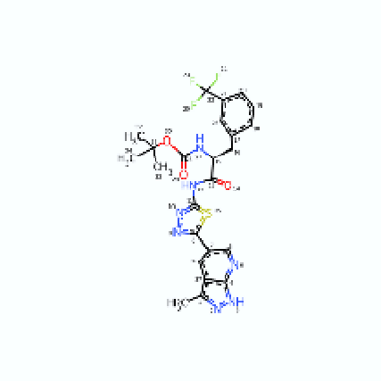 Cc1n[nH]c2ncc(-c3nnc(NC(=O)[C@H](Cc4cccc(C(F)(F)F)c4)NC(=O)OC(C)(C)C)s3)cc12